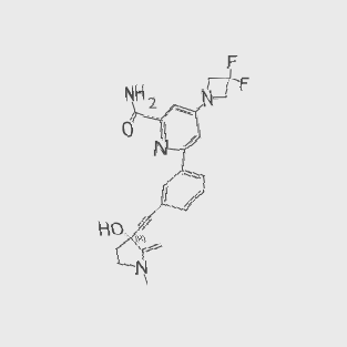 C=C1N(C)CC[C@@]1(O)C#Cc1cccc(-c2cc(N3CC(F)(F)C3)cc(C(N)=O)n2)c1